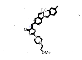 COCCN1CCN(C2=NC(=O)/C(=C/c3ccc4c(cnn4Cc4ccc(C)cc4C(F)(F)F)c3)S2)CC1